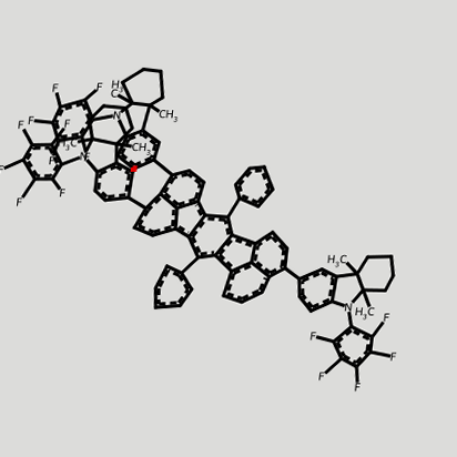 CC12CCCCC1(C)N(c1c(F)c(F)c(F)c(F)c1F)c1ccc(-c3ccc4c5c(-c6ccccc6)c6c7ccc(-c8ccc9c(c8)C8(C)CCCCC8(C)N9c8c(F)c(F)c(F)c(F)c8F)c8c(-c9ccc%10c(c9)C9(C)CCCCC9(C)N%10c9c(F)c(F)c(F)c(F)c9F)ccc(c6c(-c6ccccc6)c5c5cccc3c54)c87)cc12